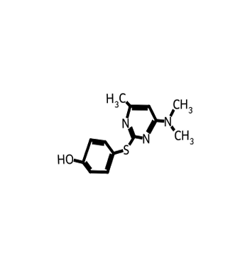 Cc1cc(N(C)C)nc(Sc2ccc(O)cc2)n1